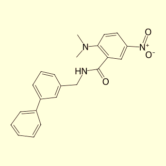 CN(C)c1ccc([N+](=O)[O-])cc1C(=O)NCc1cccc(-c2ccccc2)c1